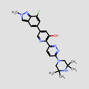 Cn1cc2cc(-c3cnc(-c4ccc(N5CC(C)(C)NC(C)(C)C5)nn4)c(O)c3)cc(F)c2n1